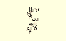 Cc1ccc(C(NC(=O)c2cc(-c3nc(Nc4ccc(F)cc4)ncc3C)c[nH]2)C(C)O)cc1F